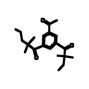 CCCC(C)(C)C(=O)c1cc(C(C)=O)cc(C(=O)C(C)(C)CC)c1